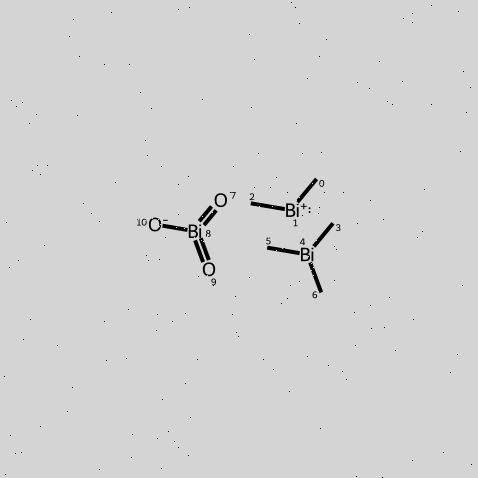 [CH3][Bi+][CH3].[CH3][Bi]([CH3])[CH3].[O]=[Bi](=[O])[O-]